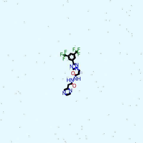 O=C(/C=C\n1cnc(-c2cc(C(F)(F)F)cc(C(F)(F)F)c2)n1)NNC(=O)Cc1cnccn1